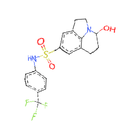 O=S(=O)(Nc1ccc(C(F)(F)F)cc1)c1cc2c3c(c1)CCN3C(O)CC2